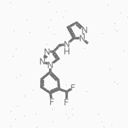 Cn1nccc1NCc1cn(-c2ccc(F)c(C(F)F)c2)nn1